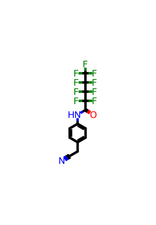 N#CCc1ccc(NC(=O)C(F)(F)C(F)(F)C(F)(F)C(F)(F)F)cc1